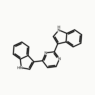 c1ccc2c(-c3ccnc(-c4c[nH]c5ccccc45)n3)c[nH]c2c1